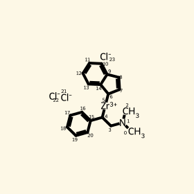 CN(C)C[CH]([Zr+3][CH]1C=Cc2ccccc21)c1ccccc1.[Cl-].[Cl-].[Cl-]